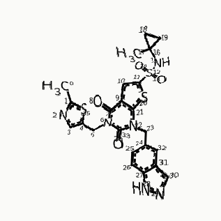 Cc1ncc(Cn2c(=O)c3cc(S(=O)(=O)NC4(C)CC4)sc3n(Cc3ccc4[nH]ncc4c3)c2=O)s1